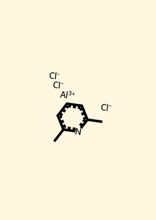 Cc1cccc(C)n1.[Al+3].[Cl-].[Cl-].[Cl-]